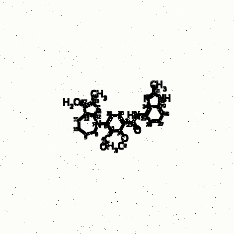 COC1C(=C=O)C(N2CCCCc3c2sc(C)c3C)=CC=C1C(=O)Nc1cccc2[nH]c(C)nc12